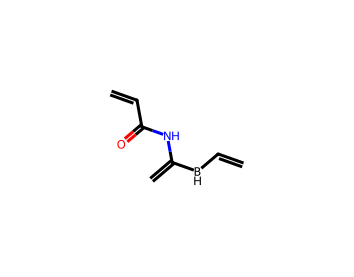 C=CBC(=C)NC(=O)C=C